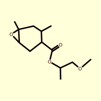 COCC(C)OC(=O)C1CC2OC2(C)CC1C